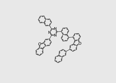 c1ccc2cc(-c3ccc4oc5cccc(-c6cccc7c(-c8nc(-c9ccc%10ccccc%10c9)nc(-c9ccc%10c(c9)oc9ccccc9%10)n8)cccc67)c5c4c3)ccc2c1